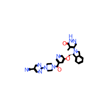 Cc1c(N2Cc3ccccc3[C@@H]2COc2cncc(C(=O)N3CCN(c4ncc(C#N)cn4)CC3)c2)cn[nH]c1=O